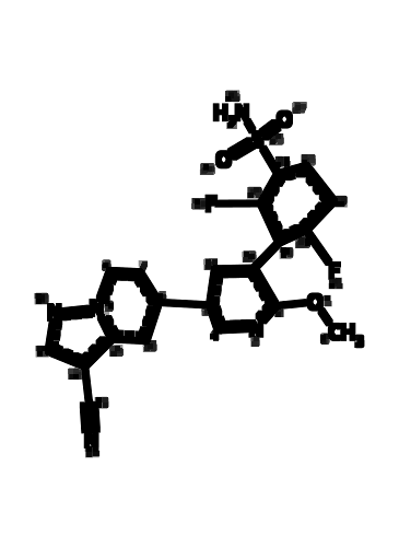 COc1ncc(-c2ccn3ncc(C#N)c3c2)cc1-c1c(F)ccc(S(N)(=O)=O)c1F